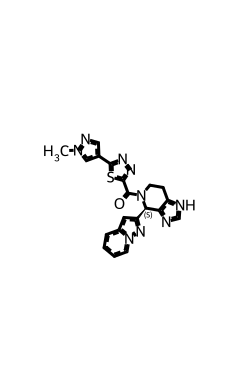 Cn1cc(-c2nnc(C(=O)N3CCc4[nH]cnc4[C@H]3c3cc4ccccn4n3)s2)cn1